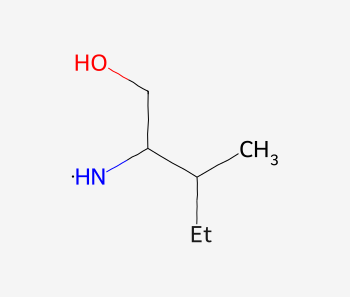 CCC(C)C([NH])CO